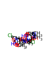 C[C@@H]1[C@@H](C)C/C=C/[C@@](O)(CC(=O)N(C)CC(c2cc3cc4c2OC[C@]2(CCCc5cc(Cl)ccc52)CN4C[C@@H]2CC[C@H]2[C@@](O)(CC(=O)N(C)CCN(C)C)/C=C/C[C@H](C)[C@@H](C)S(=O)(=O)NC3=O)N(C)C)[C@@H]2CC[C@H]2CN2CCCCc3cc(Cl)ccc3COc3ccc(cc32)C(=O)NS1(=O)=O